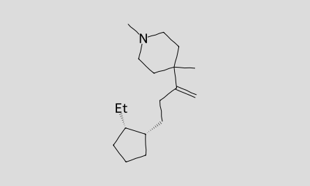 C=C(CC[C@@H]1CCC[C@@H]1CC)C1(C)CCN(C)CC1